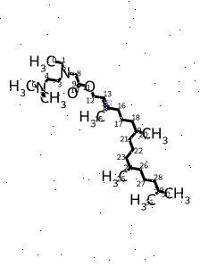 CCN(CCN(C)C)CC(=O)OC/C=C(\C)CCCC(C)CCCC(C)CCCC(C)C